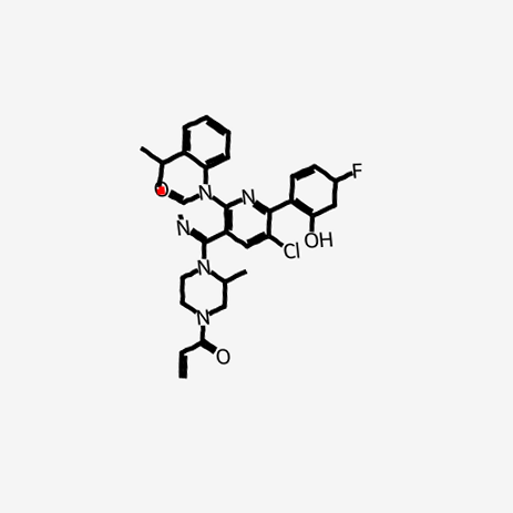 C=CC(=O)N1CCN(/C(=N/C)c2cc(Cl)c(C3=C(O)CC(F)C=C3)nc2N(C=O)c2ccccc2C(C)C)C(C)C1